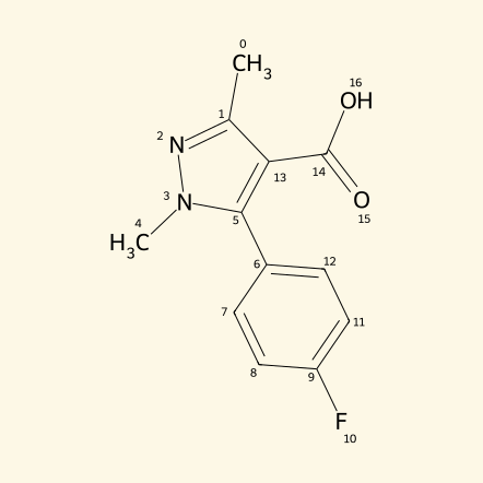 Cc1nn(C)c(-c2ccc(F)cc2)c1C(=O)O